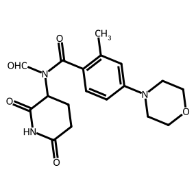 Cc1cc(N2CCOCC2)ccc1C(=O)N(C=O)C1CCC(=O)NC1=O